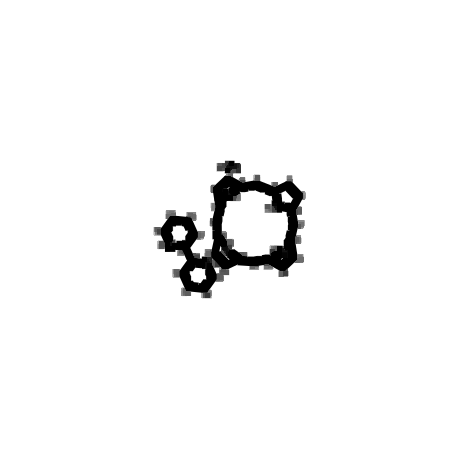 C1=Cc2cc3ccc(cc4nc(cc5ccc(cc1n2)[nH]5)C=C4)[nH]3.[Zn].c1ccc(-c2ccccn2)nc1